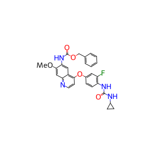 COc1cc2nccc(Oc3ccc(NC(=O)NC4CC4)c(F)c3)c2cc1NC(=O)OCc1ccccc1